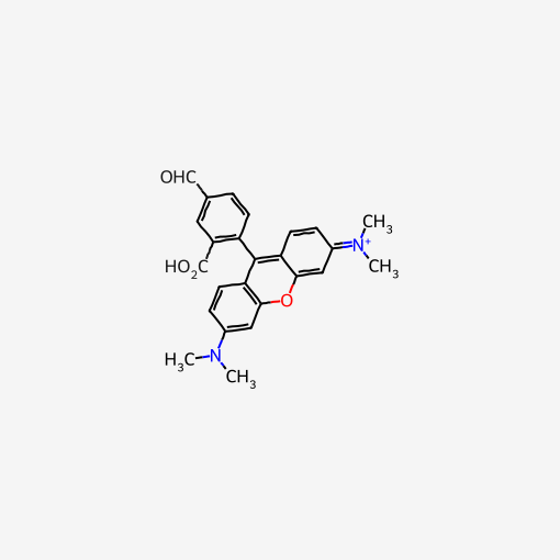 CN(C)c1ccc2c(-c3ccc(C=O)cc3C(=O)O)c3ccc(=[N+](C)C)cc-3oc2c1